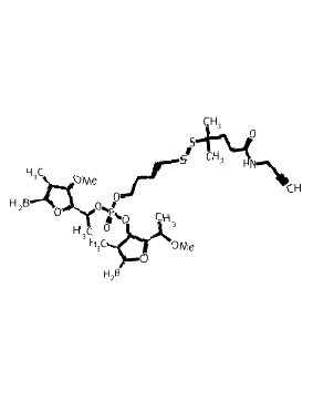 B[C@@H]1O[C@H](C(C)OP(=O)(OCC/C=C/SSC(C)(C)CCC(=O)NCC#C)OC2[C@@H](C(C)OC)O[C@@H](B)[C@H]2C)C(OC)[C@@H]1C